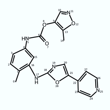 Cc1ccc(NC(=O)Oc2cnoc2C)cc1Nc1ncc(-c2ccncc2)o1